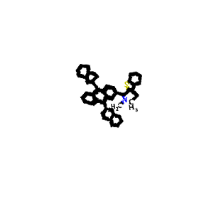 C=N/C(c1ccc2c(-c3ccc4ccccc4c3)c3ccccc3c(-c3ccc4ccccc4c3)c2c1)=c1/sc2ccccc2/c1=C/C